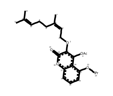 CC(=O)Oc1c(OCC=C(C)CCC=C(C)C)c(=O)oc2cccc(OC(C)C)c12